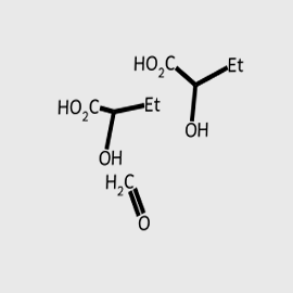 C=O.CCC(O)C(=O)O.CCC(O)C(=O)O